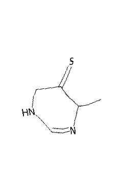 CC1N=CNCC1=S